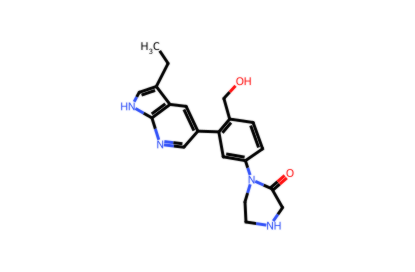 CCc1c[nH]c2ncc(-c3cc(N4CCNCC4=O)ccc3CO)cc12